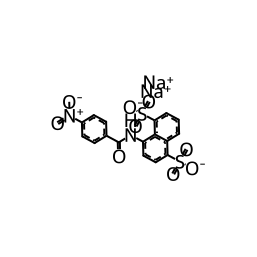 O=C(Nc1ccc(S(=O)(=O)[O-])c2cccc(S(=O)(=O)[O-])c12)c1ccc([N+](=O)[O-])cc1.[Na+].[Na+]